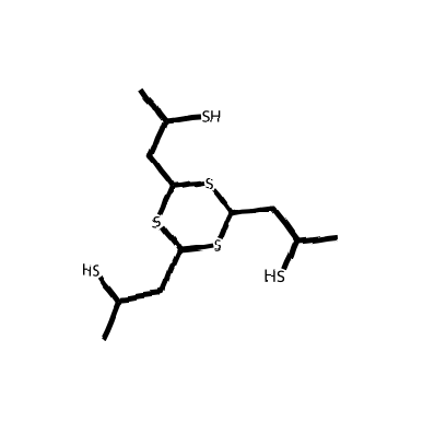 CC(S)CC1SC(CC(C)S)SC(CC(C)S)S1